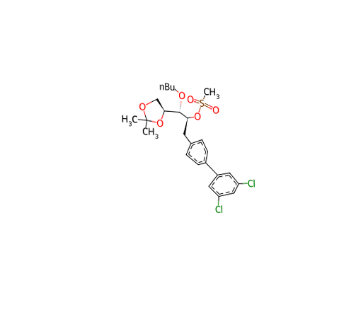 CCCCO[C@@H]([C@@H]1COC(C)(C)O1)[C@H](Cc1ccc(-c2cc(Cl)cc(Cl)c2)cc1)OS(C)(=O)=O